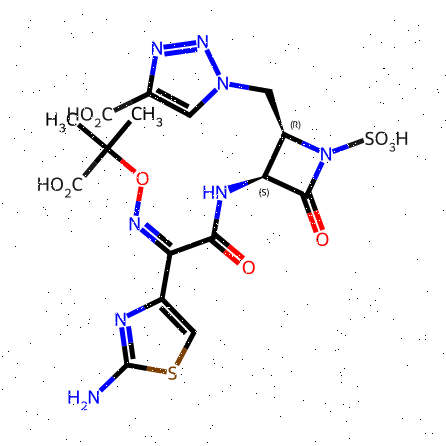 CC(C)(ON=C(C(=O)N[C@@H]1C(=O)N(S(=O)(=O)O)[C@@H]1Cn1cc(C(=O)O)nn1)c1csc(N)n1)C(=O)O